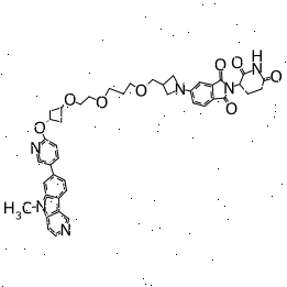 Cn1c2ccncc2c2ccc(-c3ccc(O[C@H]4C[C@H](OCCOCCCOCC5CN(c6ccc7c(c6)C(=O)N(C6CCC(=O)NC6=O)C7=O)C5)C4)nc3)cc21